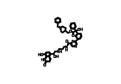 O=C(NCCCNCC(O)c1ccc(O)c2[nH]c(=O)ccc12)c1cncc(-c2cccc(C(O)(C(=O)OCC3CCN(Cc4ccccc4)CC3)c3ccccc3)c2)n1